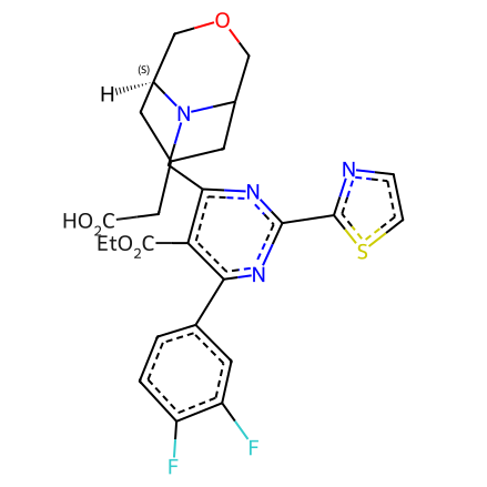 CCOC(=O)c1c(CN2C3COC[C@@H]2CC(CC(=O)O)C3)nc(-c2nccs2)nc1-c1ccc(F)c(F)c1